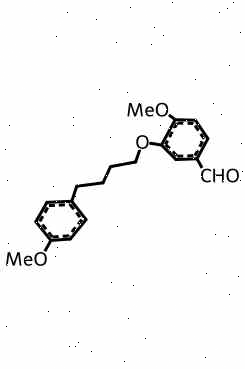 COc1ccc(CCCCOc2cc(C=O)ccc2OC)cc1